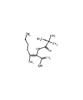 C=C(O)/C(NC(=O)C(C)(C)C)=C(\C)CCCC